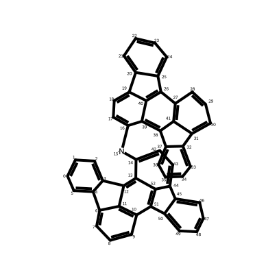 c1ccc2c(c1)c1cccc3c1c2c1c([N]c2ccc4c5ccccc5c5c6cccc7c8ccccc8c(c2c45)c76)ccc2c4ccccc4c3c21